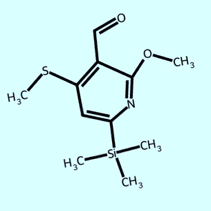 COc1nc([Si](C)(C)C)cc(SC)c1C=O